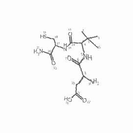 CC(C)(C)C(NC(=O)C(N)CC(=O)O)C(=O)NC(CS)C(N)=O